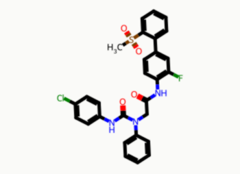 CS(=O)(=O)c1ccccc1-c1ccc(NC(=O)CN(C(=O)Nc2ccc(Cl)cc2)c2ccccc2)c(F)c1